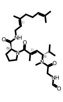 CC(C)=CCC/C(C)=C/CNC(=O)[C@@H]1CCCN1C(=O)/C(C)=C/[C@H](C(C)C)N(C)C(=O)CNC=O